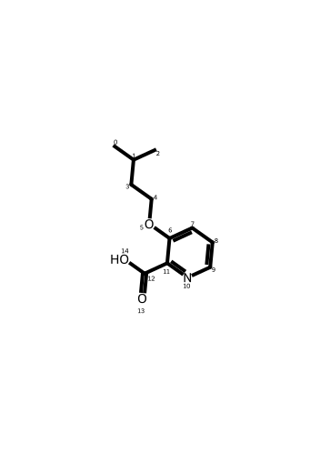 CC(C)CCOc1cccnc1C(=O)O